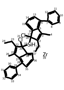 CCC1=C(C)c2c(-c3ccccc3)cccc2C1(Cl)[SiH2]C1(Cl)C(CC)=C(C)c2c(-c3ccccc3)cccc21.[Zr]